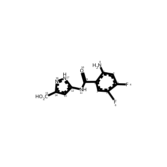 Nc1cc(F)c(F)cc1C(=O)Nc1cc(C(=O)O)n[nH]1